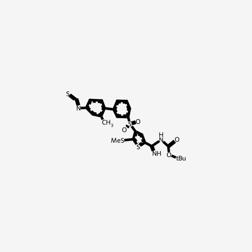 CSc1sc(C(=N)NC(=O)OC(C)(C)C)cc1S(=O)(=O)c1cccc(-c2ccc(N=C=S)cc2C)c1